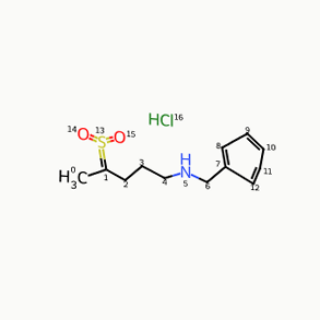 CC(CCCNCc1ccccc1)=S(=O)=O.Cl